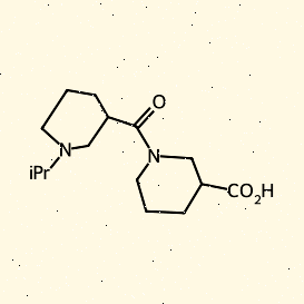 CC(C)N1CCCC(C(=O)N2CCCC(C(=O)O)C2)C1